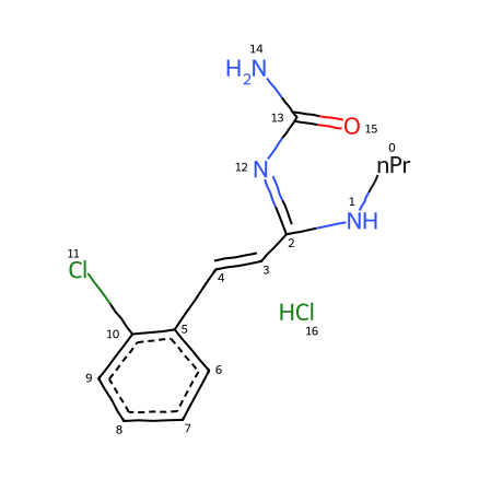 CCCNC(C=Cc1ccccc1Cl)=NC(N)=O.Cl